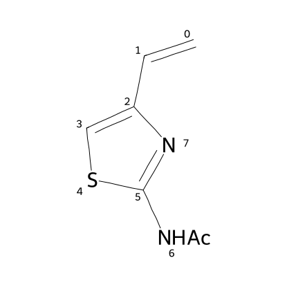 C=Cc1csc(NC(C)=O)n1